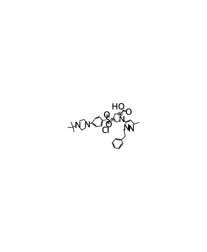 Cc1cc(N2C[C@H](S(=O)(=O)c3ccc(N4CCN(C(C)(C)C)CC4)cc3Cl)C[C@H]2C(=O)O)n(CCc2ccccc2)n1